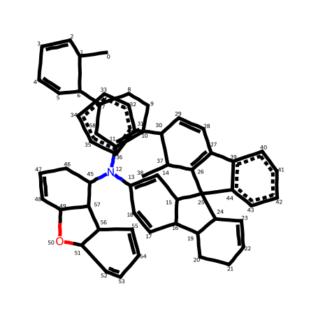 CC1C=CC=CC1C1CCC=C(N(C2=CC3C(C=C2)C2CCC=CC2C32C3=C(C=CC(c4ccccc4)C3C)c3ccccc32)C2CC=CC3OC4C=CC=CC4C32)C1